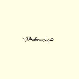 CC(C)(C)OC(=O)CCOCCC(=O)NCCOCCOCCNC(=O)OCc1ccccc1